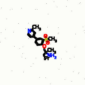 Cc1cc(-c2ccc(OC[C@@](C)(N)CC(C)C)c(S(C)(=O)=O)c2)ccn1